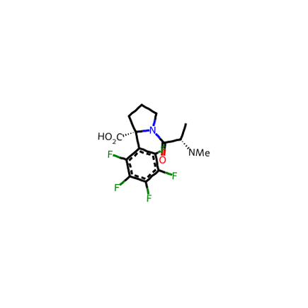 CN[C@@H](C)C(=O)N1CCC[C@]1(C(=O)O)c1c(F)c(F)c(F)c(F)c1F